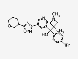 CC(C)c1ccc([C@](O)(c2cncc(-c3noc(C4CCCOC4)n3)c2)C2(C)CN(C)C2)cc1